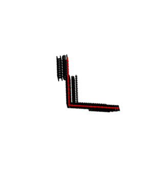 Cl.Cl.Cl.Cl.Cl.Cl.Cl.Cl.Cl.Cl.Cl.Cl.Cl.Cl.Cl.Cl.Cl.Cl.Cl.Cl.Cl.Cl.Cl.Cl.Cl.Cl.Cl.Cl.Cl.Cl.Cl.Cl.Cl.Cl.Cl.Cl.Cl.Cl.Cl.Cl.Cl.Cl.Cl.Cl.Cl.Cl.Cl.Cl.Cl.Cl.Cl.Cl.Cl.Cl.Cl.Cl.Cl.Cl.Cl.Cl.[Na+].[Na+].[Na+].[Na+].[Na+].[Na+].[Na+].[Na+].[Na+].[Na+].[Na+].[Na+].[Na+].[Na+].[Na+].[Na+].[Na+].[Na+].[Na+].[Na+].[Na+].[Na+].[Na+].[Na+].[Na+].[Na+].[Na+].[Na+].[Na+].[Na+].[Na+].[Na+].[Na+].[Na+].[Na+].[Na+].[Na+].[Na+].[Na+].[Na+].[Na+].[Na+].[Na+].[Na+].[Na+].[Na+].[Na+].[Na+].[Na+].[Na+].[Na+].[Na+].[Na+].[Na+].[Na+].[Na+].[Na+].[Na+].[Na+].[Na+].[Na+].[Na+].[Na+].[Na+].[Na+].[Na+].[Na+].[Na+].[Na+].[Na+].[Na+].[Na+].[Na+].[Na+].[Na+].[Na+].[Na+].[Na+].[Na+].[Na+].[Na+].[Na+]